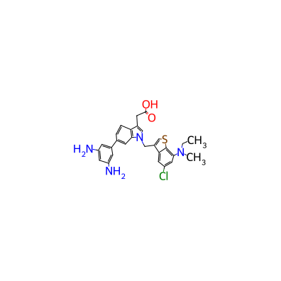 CCN(C)c1cc(Cl)cc2c(Cn3cc(CC(=O)O)c4ccc(-c5cc(N)cc(N)c5)cc43)csc12